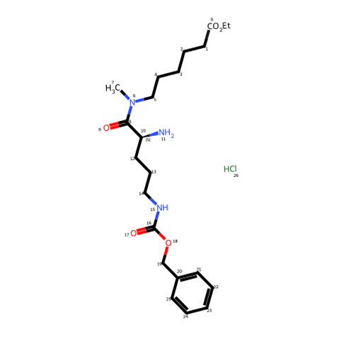 CCOC(=O)CCCCCN(C)C(=O)[C@@H](N)CCCNC(=O)OCc1ccccc1.Cl